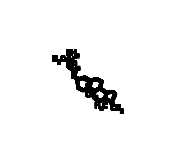 C=C1CCC2C3CCC4=CC(=NOCC(C)(C)N)CC[C@]4(C)C3CC[C@]12C